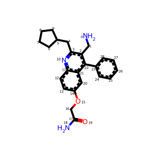 NCc1c(CC2CCCC2)nc2ccc(OCC(N)=O)cc2c1-c1ccccc1